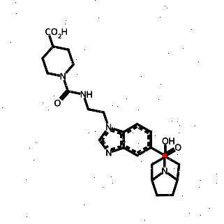 O=C(O)C1CCN(C(=O)NCCn2cnc3cc(C(=O)N4C5CCC4CC(O)C5)ccc32)CC1